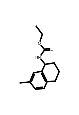 CCOC(=O)NC1CCCc2ccc(C)cc21